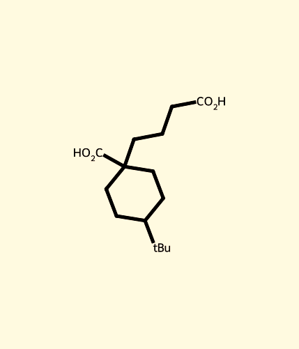 CC(C)(C)C1CCC(CCCC(=O)O)(C(=O)O)CC1